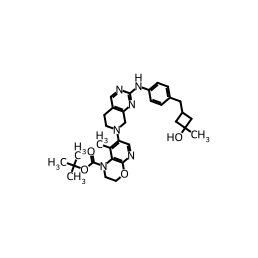 Cc1c(N2CCc3cnc(Nc4ccc(CC5CC(C)(O)C5)cc4)nc3C2)cnc2c1N(C(=O)OC(C)(C)C)CCO2